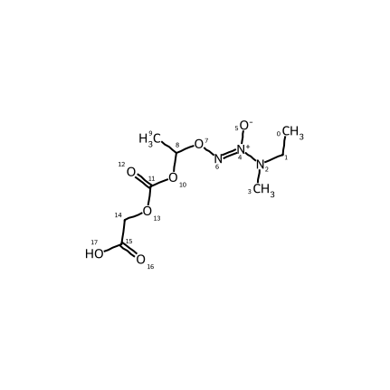 CCN(C)[N+]([O-])=NOC(C)OC(=O)OCC(=O)O